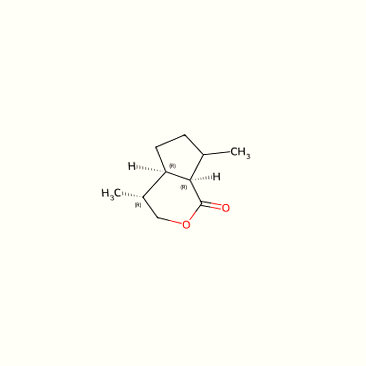 CC1CC[C@H]2[C@@H]1C(=O)OC[C@@H]2C